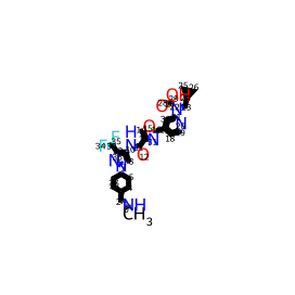 CNCC1CCC(n2cc(NC(=O)c3coc(-c4ccnc(N(CC5CC5)C(=O)O)c4)n3)c(C(F)F)n2)CC1